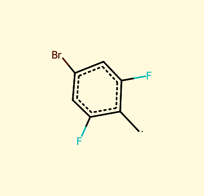 [CH2]c1c(F)cc(Br)cc1F